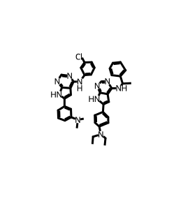 CCN(CC)c1ccc(-c2cc3c(NC(C)c4ccccc4)ncnc3[nH]2)cc1.CN(C)c1cccc(-c2cc3c(Nc4cccc(Cl)c4)ncnc3[nH]2)c1